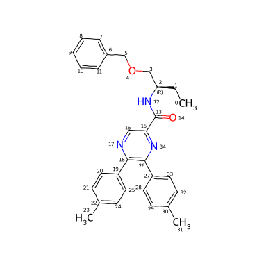 CC[C@H](COCc1ccccc1)NC(=O)c1cnc(-c2ccc(C)cc2)c(-c2ccc(C)cc2)n1